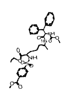 CCOC(=O)C(CCCC(C)NC(=O)C(NC(=O)OC)C(c1ccccc1)c1ccccc1)NS(=O)(=O)c1ccc(C(=O)OC)cc1